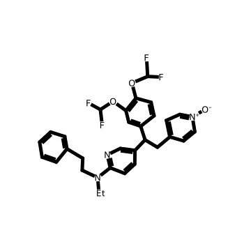 CCN(CCc1ccccc1)c1ccc(C(Cc2cc[n+]([O-])cc2)c2ccc(OC(F)F)c(OC(F)F)c2)cn1